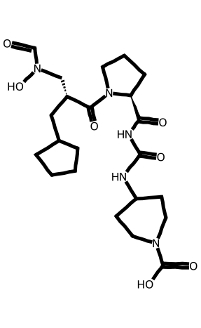 O=CN(O)C[C@@H](CC1CCCC1)C(=O)N1CCC[C@H]1C(=O)NC(=O)NC1CCN(C(=O)O)CC1